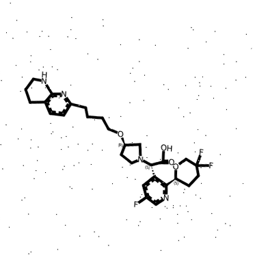 O=C(O)[C@H](c1cc(F)cnc1[C@@H]1CCC(F)(F)CO1)N1CC[C@@H](OCCCCc2ccc3c(n2)NCCC3)C1